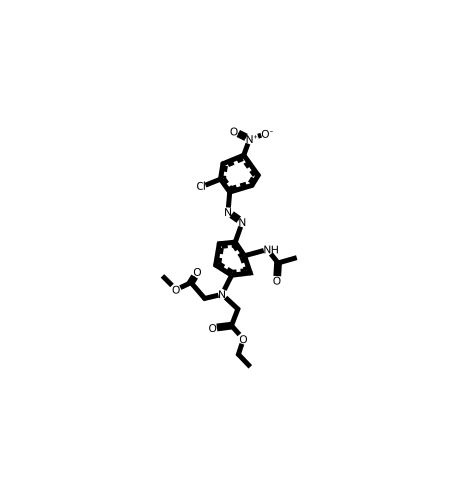 CCOC(=O)CN(CC(=O)OC)c1ccc(N=Nc2ccc([N+](=O)[O-])cc2Cl)c(NC(C)=O)c1